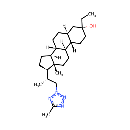 CC[C@@]1(O)CC[C@H]2[C@@H](CC[C@@H]3[C@@H]2CC[C@]2(C)[C@@H]([C@@H](C)Cn4nnc(C)n4)CC[C@@H]32)C1